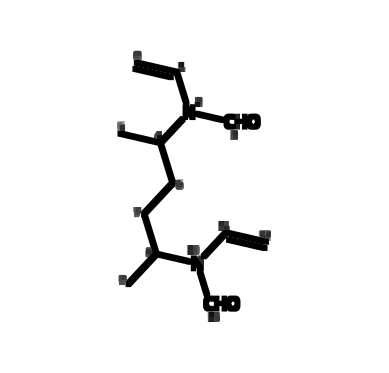 C=CN(C=O)C(C)CCC(C)N(C=C)C=O